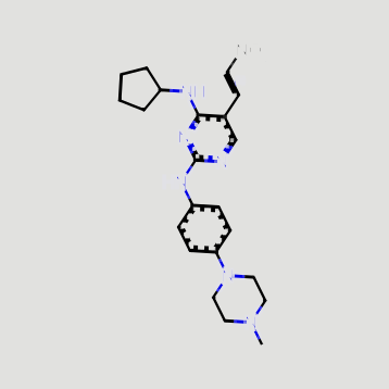 CN1CCN(c2ccc(Nc3ncc(/C=C/[N+](=O)[O-])c(NC4CCCC4)n3)cc2)CC1